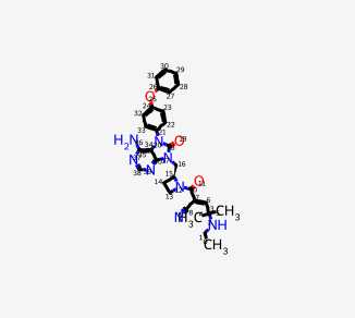 CCNC(C)(C)C=C(C#N)C(=O)N1CC[C@H]1Cn1c(=O)n(-c2ccc(Oc3ccccc3)cc2)c2c(N)ncnc21